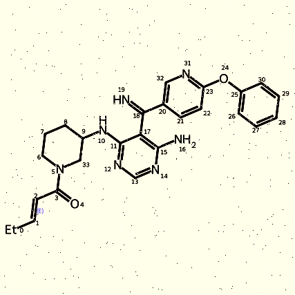 CC/C=C/C(=O)N1CCCC(Nc2ncnc(N)c2C(=N)c2ccc(Oc3ccccc3)nc2)C1